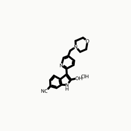 Cl.N#Cc1ccc2c(-c3ccc(CN4CCOCC4)cn3)c(O)[nH]c2c1